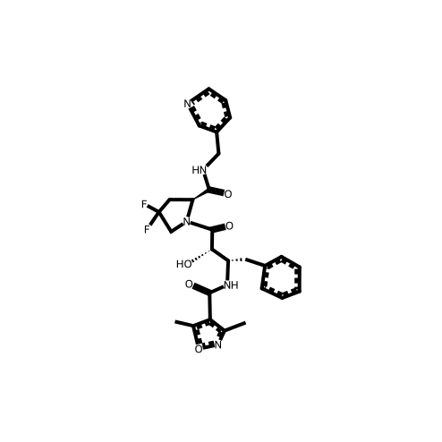 Cc1noc(C)c1C(=O)N[C@@H](Cc1ccccc1)[C@H](O)C(=O)N1CC(F)(F)C[C@H]1C(=O)NCc1cccnc1